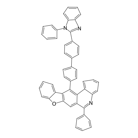 c1ccc(-c2nc3ccccc3c3c(-c4ccc(-c5ccc(-c6nc7ccccc7n6-c6ccccc6)cc5)cc4)c4c(cc23)oc2ccccc24)cc1